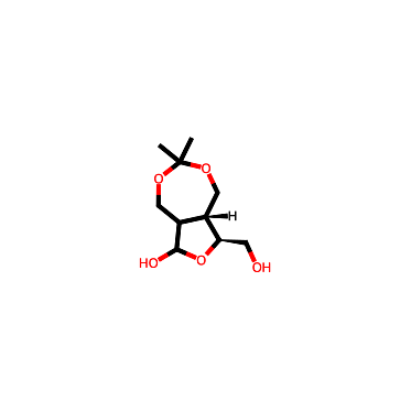 CC1(C)OCC2C(O)O[C@H](CO)[C@H]2CO1